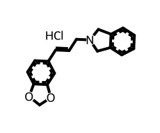 C(=Cc1ccc2c(c1)OCO2)CN1Cc2ccccc2C1.Cl